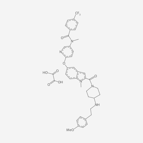 COc1ccc(CCNC2CCN(C(=O)c3cc4cc(Oc5ccc(N(C)C(=O)c6ccc(C(F)(F)F)cc6)cn5)ccc4n3C)CC2)cc1.O=C(O)C(=O)O